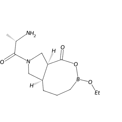 CCOB1CCC[C@H]2CN(C(=O)[C@H](C)N)C[C@H]2C(=O)O1